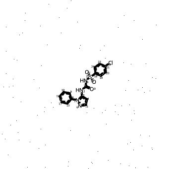 O=C(Nc1ccnn1-c1ccccc1)NS(=O)(=O)c1ccc(Cl)cc1